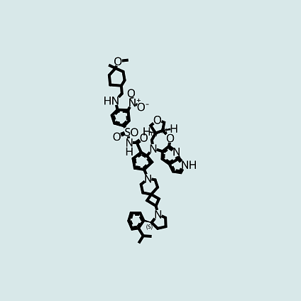 COC1(C)CCC(CNc2ccc(S(=O)(=O)NC(=O)c3ccc(N4CCC5(CC4)CC(N4CCC[C@H]4c4ccccc4C(C)C)C5)cc3N3C[C@H]4COC[C@@H]4Oc4nc5[nH]ccc5cc43)cc2[N+](=O)[O-])CC1